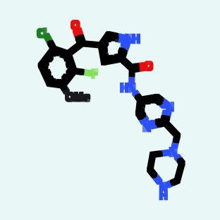 COc1ccc(Cl)c(C(=O)c2c[nH]c(C(=O)Nc3cnc(CN4CCNCC4)nc3)c2)c1F